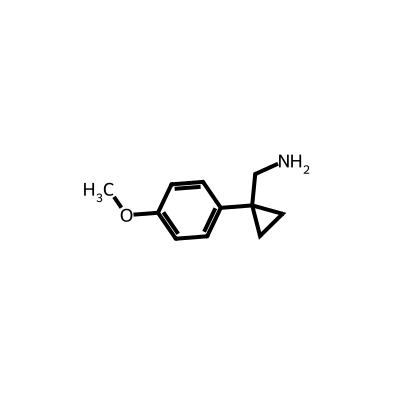 COc1ccc(C2(CN)CC2)cc1